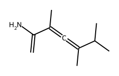 C=C(N)C(C)=C=C(C)C(C)C